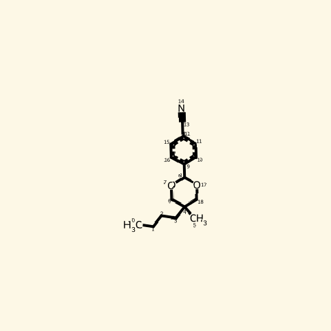 CCCCC1(C)COC(c2ccc(C#N)cc2)OC1